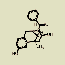 C[C@H]1[C@H]2Cc3ccc(O)cc3[C@]1(C)CC(O)N2C(=O)c1ccccc1